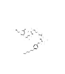 CCCCCCc1ccc(C(=O)N[C@H](CO)C(=O)N[C@H](C)C(=O)NCC(=O)N(C)[C@H](C(=O)N[C@@H](C)C(=O)NC(CC(C)C)C(=O)NCC=O)C(C)O)cc1